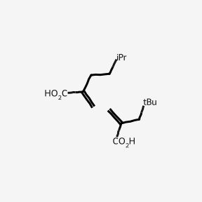 C=C(CC(C)(C)C)C(=O)O.C=C(CCC(C)C)C(=O)O